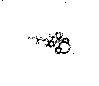 COC(=O)OCOc1c2n(ccc1=O)N([C@H]1c3cccc(c3)CCCSc3cccc1c3)[C@@H]1COCCN1C2=O